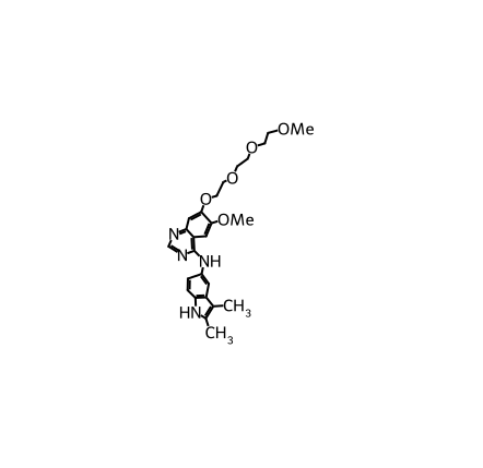 COCCOCCOCCOc1cc2ncnc(Nc3ccc4[nH]c(C)c(C)c4c3)c2cc1OC